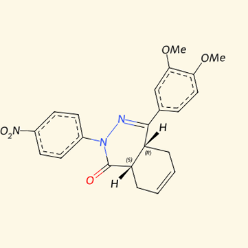 COc1ccc(C2=NN(c3ccc([N+](=O)[O-])cc3)C(=O)[C@H]3CC=CC[C@@H]23)cc1OC